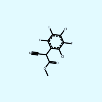 COC(=O)C(C#N)c1c(F)c(F)c(Cl)c(F)c1Cl